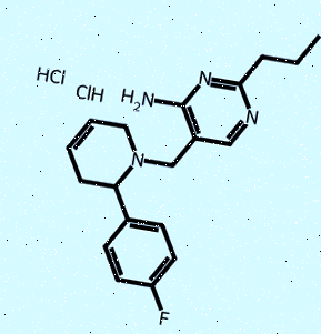 CCCc1ncc(CN2CC=CCC2c2ccc(F)cc2)c(N)n1.Cl.Cl